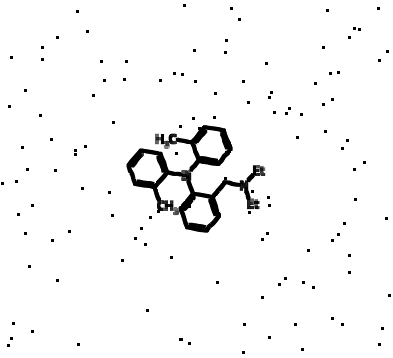 CCN(CC)Cc1cccc[c]1[Bi]([c]1ccccc1C)[c]1ccccc1C